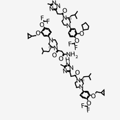 CC(C)C[C@H]1CN(c2ccc(OC(F)F)c(OCC3CC3)c2)CCN1C(=O)CC(N)=O.Cc1nc(CC(=O)N2CCN(c3ccc(OC(F)F)c(OC4CCCC4)c3)C[C@@H]2CC(C)C)n[nH]1.Cc1nc(CC(=O)N2CCN(c3ccc(OC(F)F)c(OCC4CC4)c3)C[C@@H]2CC(C)C)n[nH]1